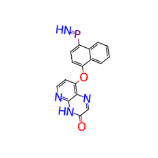 N=Pc1ccc(Oc2ccnc3[nH]c(=O)cnc23)c2ccccc12